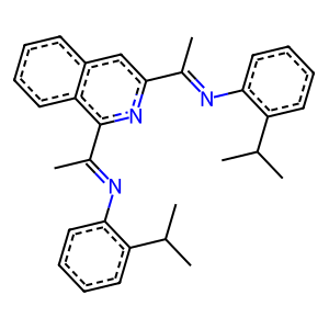 C/C(=N\c1ccccc1C(C)C)c1cc2ccccc2c(/C(C)=N/c2ccccc2C(C)C)n1